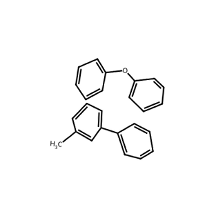 Cc1cccc(-c2ccccc2)c1.c1ccc(Oc2ccccc2)cc1